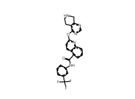 O=C(Nc1cccc(C(F)(F)F)c1)c1cccc2nc(Oc3ncnc4c3CCNC4)ccc12